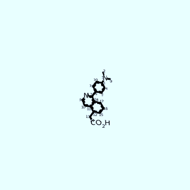 CN(C)c1ccc(-c2nccc3c(CC(=O)O)cccc23)cc1